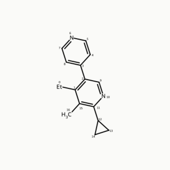 CCc1c(-c2ccncc2)cnc(C2CC2)c1C